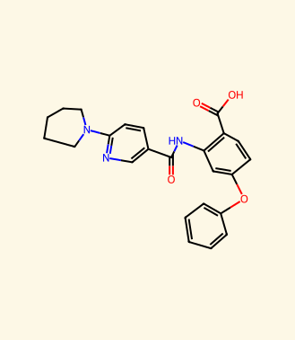 O=C(Nc1cc(Oc2ccccc2)ccc1C(=O)O)c1ccc(N2CCCCC2)nc1